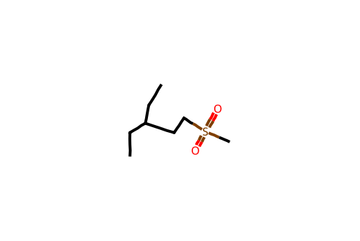 CCC(CC)CCS(C)(=O)=O